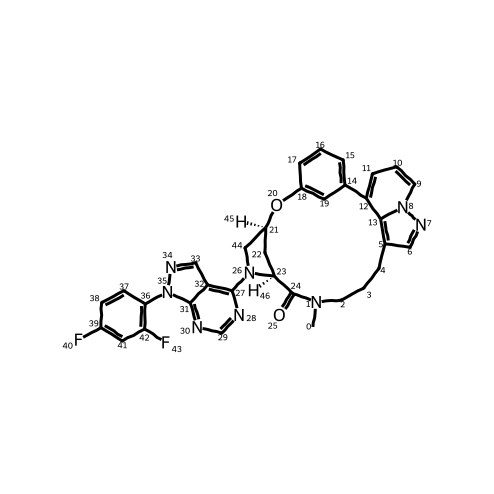 CN1CCCc2cnn3cccc(c23)-c2cccc(c2)O[C@H]2C[C@@H](C1=O)N(c1ncnc3c1cnn3-c1ccc(F)cc1F)C2